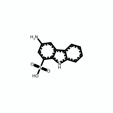 Nc1cc(S(=O)(=O)O)c2[nH]c3ccccc3c2c1